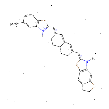 CCN1/C(=C/C2=CC3=C/C(=C/c4sc5ccc(SC)cc5[n+]4C)CCC3CC2)Sc2cc3c(cc21)SCC3